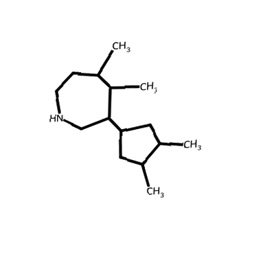 CC1CC(C2CNCCC(C)C2C)CC1C